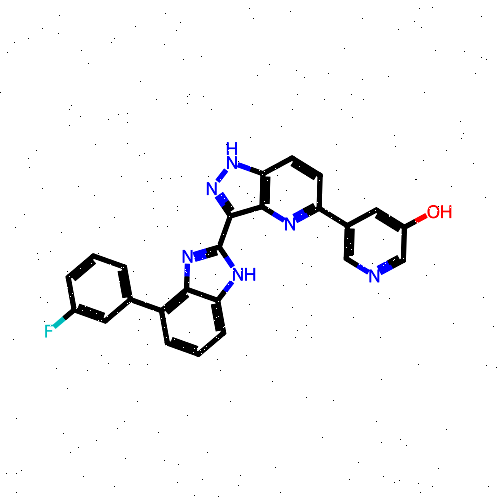 Oc1cncc(-c2ccc3[nH]nc(-c4nc5c(-c6cccc(F)c6)cccc5[nH]4)c3n2)c1